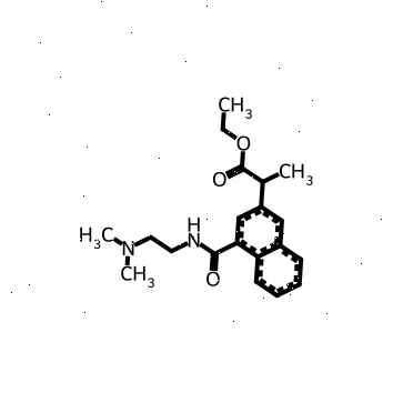 CCOC(=O)C(C)c1cc(C(=O)NCCN(C)C)c2ccccc2c1